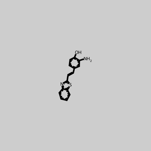 Nc1cc(C=Cc2nc3ccccc3s2)ccc1O